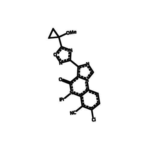 COC1(c2nc(-c3ncn4c3c(=O)n(C(C)C)c3c(C#N)c(Cl)ccc34)no2)CC1